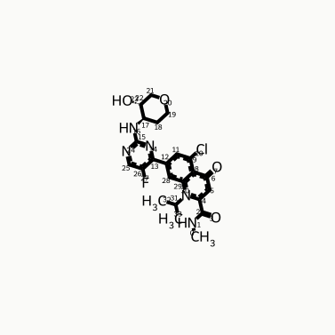 CNC(=O)c1cc(=O)c2c(Cl)cc(-c3nc(N[C@@H]4CCOC[C@H]4O)ncc3F)cc2n1C(C)C